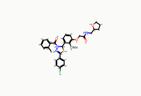 COc1c(OCC(=O)NCC2CCCO2)cccc1C1SC(c2ccc(F)cc2)=NN1C(=O)c1ccccc1C